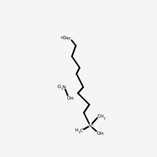 CCCCCCCCCCCCCCCCCC[N+](C)(C)O.O=[N+]([O-])O